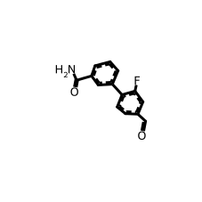 NC(=O)c1cccc(-c2ccc(C=O)cc2F)c1